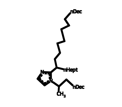 CCCCCCCCCCCCCCCCCC(CCCCCCC)c1nccn1C(C)CCCCCCCCCCC